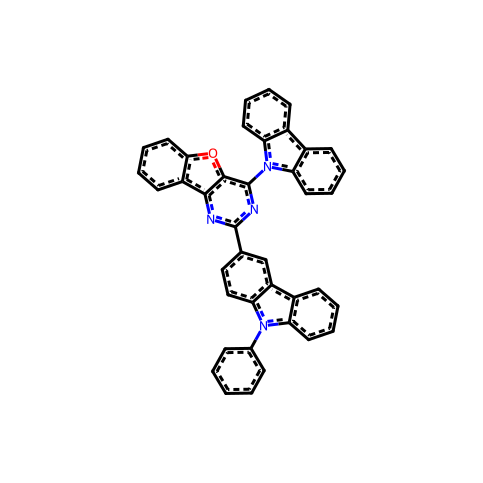 c1ccc(-n2c3ccccc3c3cc(-c4nc(-n5c6ccccc6c6ccccc65)c5oc6ccccc6c5n4)ccc32)cc1